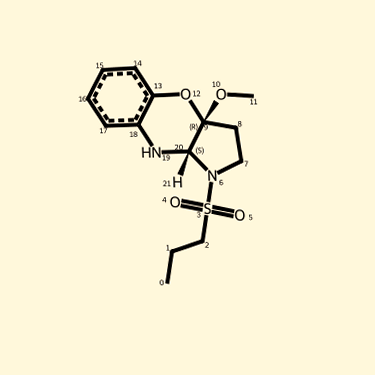 CCCS(=O)(=O)N1CC[C@@]2(OC)Oc3ccccc3N[C@@H]12